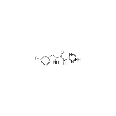 O=C(Nc1nc[nH]n1)C1Cc2cc(F)ccc2N1